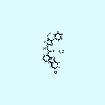 CCc1sc(NC(=O)c2cccc3c2oc2ccc(Cl)cc23)nc1-c1ccccc1.O